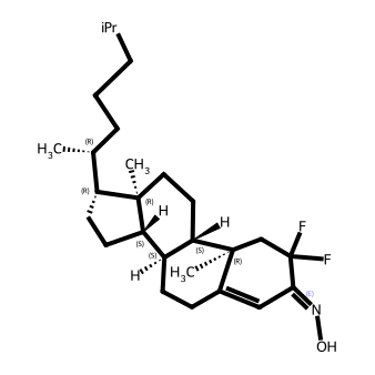 CC(C)CCC[C@@H](C)[C@H]1CC[C@H]2[C@@H]3CCC4=C/C(=N\O)C(F)(F)C[C@]4(C)[C@H]3CC[C@]12C